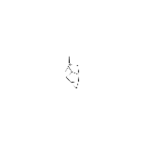 IN1CC2C3CC3C(C1)N2I